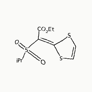 CCOC(=O)C(=C1SC=CS1)S(=O)(=O)C(C)C